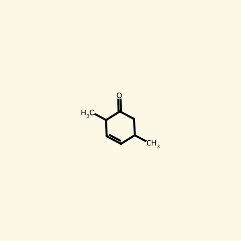 CC1C=CC(C)C(=O)C1